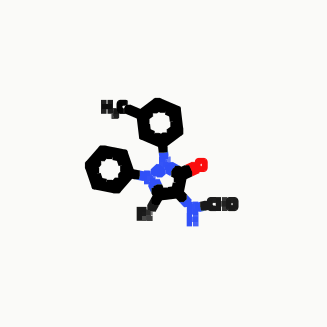 CCc1c(NC=O)c(=O)n(-c2cccc(C)c2)n1-c1ccccc1